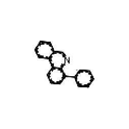 [c]1ccccc1-c1cccc2c1ncc1ccccc12